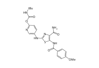 COc1ccc(C(=O)Nc2sc(Nc3ccc(OC(=O)NC(C)(C)C)nc3)nc2C(N)=O)cc1